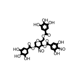 O=Nc1c(O)cc(C(=O)OC2C(COC(=O)c3cc(O)c(O)c(O)c3)OCC(OC(=O)C3C=C(O)C(O)=C(O)C3)C2N=O)cc1O